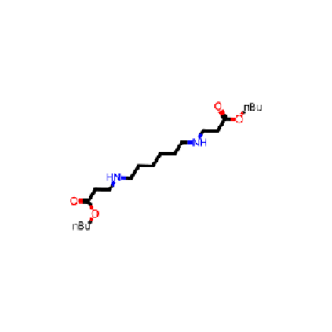 CCCCOC(=O)CCNCCCCCCNCCC(=O)OCCCC